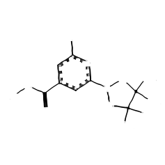 COC(=O)c1cc(Cl)nc(B2OC(C)(C)C(C)(C)O2)c1